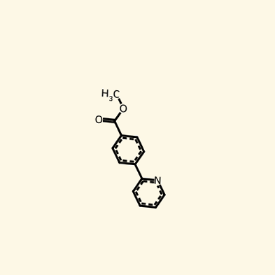 COC(=O)c1ccc(-c2ccccn2)cc1